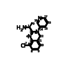 C[C@H](N)C1=Nc2c(Cl)cccc2CN1c1cccnc1